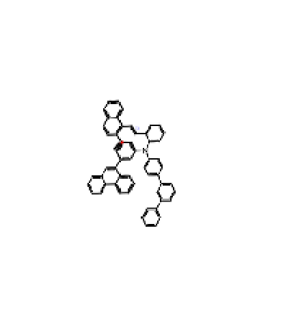 C=Cc1ccc2ccccc2c1/C=C/c1ccccc1N(c1ccc(-c2cccc(-c3ccccc3)c2)cc1)c1cccc(-c2cc3ccccc3c3ccccc23)c1